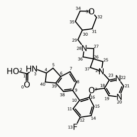 O=C(O)NC1Cc2ccc(-c3cc(F)ccc3Oc3cncnc3N3CC4(CN(CC5CCOCC5)C4)C3)cc2C1